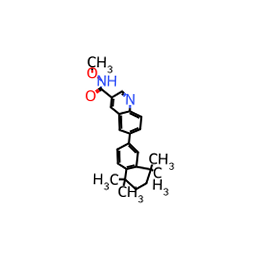 CONC(=O)c1cnc2ccc(-c3ccc4c(c3)C(C)(C)CCC4(C)C)cc2c1